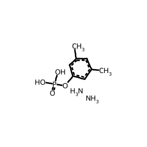 Cc1cc(C)cc(OP(=O)(O)O)c1.N.N